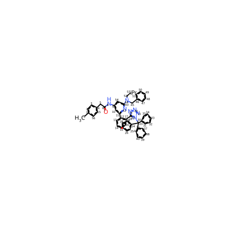 Cc1ccc(CC(=O)Nc2cc(-c3ccccc3-c3nnnn3C(c3ccccc3)(c3ccccc3)c3ccccc3)nc(N(Cc3ccccc3)CC(C)C)c2)cc1